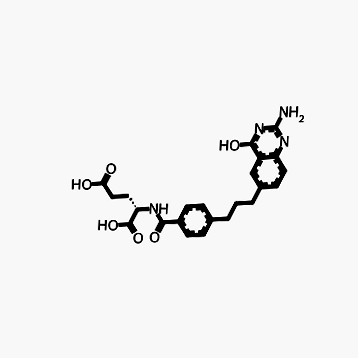 Nc1nc(O)c2cc(CCCc3ccc(C(=O)N[C@@H](CCC(=O)O)C(=O)O)cc3)ccc2n1